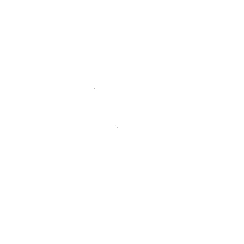 N.c1ccc(N(c2ccccc2)c2ccccc2)cc1